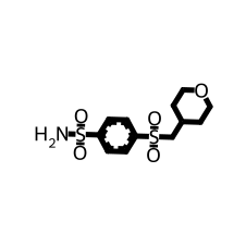 NS(=O)(=O)c1ccc(S(=O)(=O)CC2CCOCC2)cc1